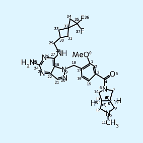 COc1cc(C(=O)N2C[C@H]3CN(C)C[C@H]3C2)ccc1Cn1ncc2nc(N)nc(NCC3CC4(C3)CC4(F)F)c21